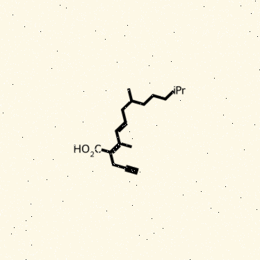 C#CCC(C(=O)O)=C(C)C=CCC(C)CCCC(C)C